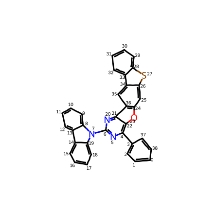 c1ccc(-c2nc(-n3c4ccccc4c4ccccc43)nc3c2oc2cc4sc5ccccc5c4cc23)cc1